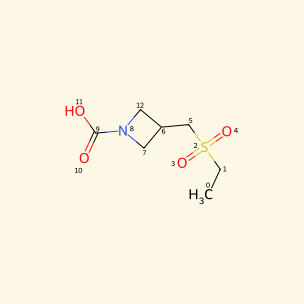 CCS(=O)(=O)CC1CN(C(=O)O)C1